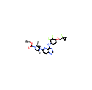 CC(C)(C)OC(=O)N1C[C@@H]2C[C@H]1CN2c1ccc2ncnc(Nc3ccc(OCC4(F)CC4)c(F)c3F)c2n1